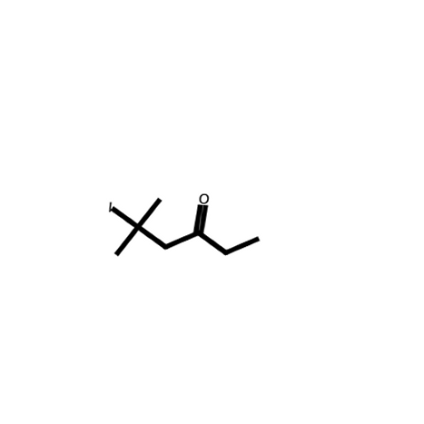 CCC(=O)CC(C)(C)I